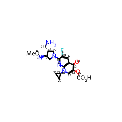 CON=C1CN(c2nc3c(cc2F)c(=O)c(OC(=O)O)cn3C2CC2)C[C@H]1CN